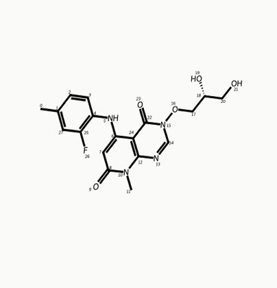 Cc1ccc(Nc2cc(=O)n(C)c3ncn(OC[C@H](O)CO)c(=O)c23)c(F)c1